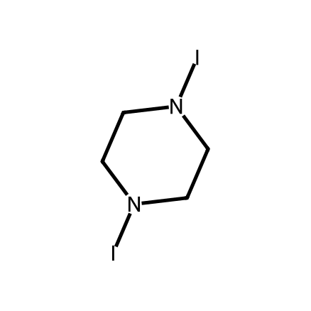 IN1CCN(I)CC1